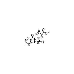 COC(=O)c1cc([N+](=O)[O-])c(NC(=O)c2cnccn2)cc1F